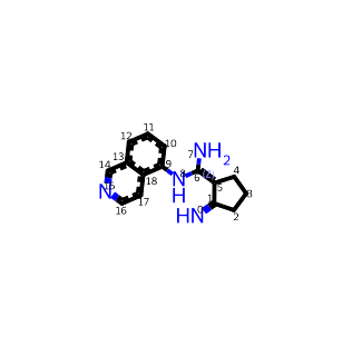 N=C1CCC/C1=C(\N)Nc1cccc2cnccc12